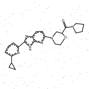 O=C(C1CN(c2ccc3nc(-c4cccc(C5CC5)n4)[nH]c3n2)CCO1)N1CCCC1